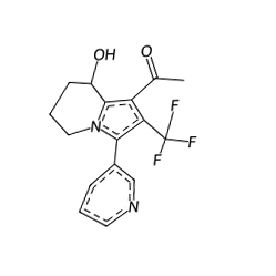 CC(=O)c1c(C(F)(F)F)c(-c2cccnc2)n2c1C(O)CCC2